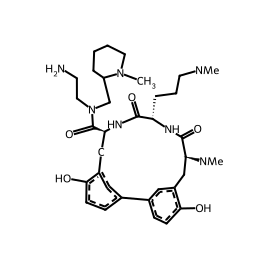 CNCCC[C@@H]1NC(=O)[C@@H](NC)Cc2cc(ccc2O)-c2ccc(O)c(c2)C[C@@H](C(=O)N(CCN)CC2CCCCN2C)NC1=O